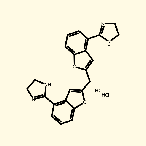 Cl.Cl.c1cc(C2=NCCN2)c2cc(Cc3cc4c(C5=NCCN5)cccc4o3)oc2c1